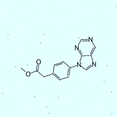 COC(=O)Cc1ccc(-n2cnc3cncnc32)cc1